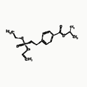 CCOP(=O)(CCc1ccc(C(=O)OC(C)C)cc1)OCC